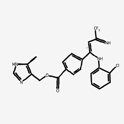 Cc1[nH]cnc1COC(=O)c1ccc(/C(=C/C(=N)C(F)(F)F)Nc2ccccc2Cl)cc1